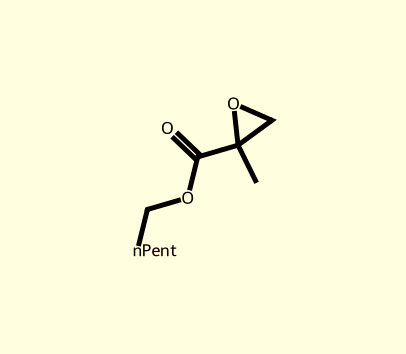 CCCCCCOC(=O)C1(C)CO1